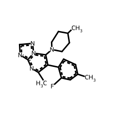 Cc1ccc(-c2c(C)nc3ncnn3c2N2CCC(C)CC2)c(F)c1